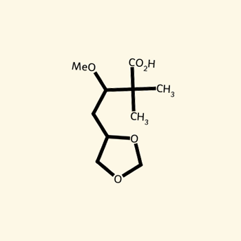 COC(CC1COCO1)C(C)(C)C(=O)O